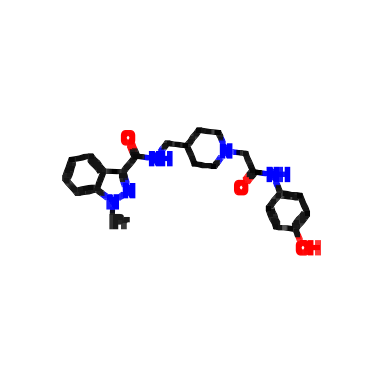 CC(C)n1nc(C(=O)NCC2CCN(CC(=O)Nc3ccc(O)cc3)CC2)c2ccccc21